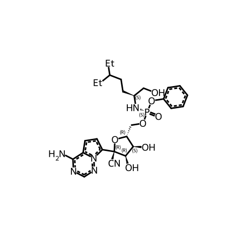 CCC(CC)CC[C@@H](CO)N[P@](=O)(OC[C@H]1O[C@@](C#N)(c2ccc3c(N)ncnn23)[C@H](O)[C@@H]1O)Oc1ccccc1